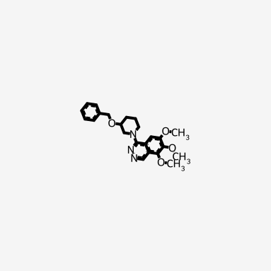 COc1cc2c(N3CCCC(OCc4ccccc4)C3)nncc2c(OC)c1OC